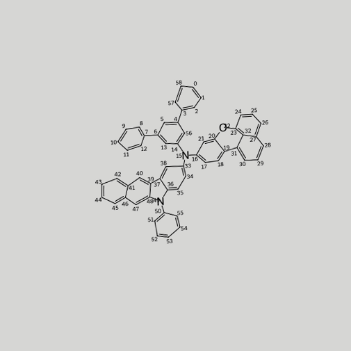 c1ccc(-c2cc(-c3ccccc3)cc(N(c3ccc4c(c3)Oc3cccc5cccc-4c35)c3ccc4c(c3)c3cc5ccccc5cc3n4-c3ccccc3)c2)cc1